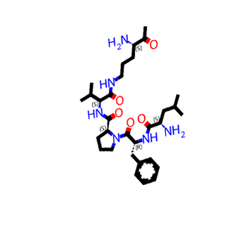 CC(=O)[C@@H](N)CCCNC(=O)[C@@H](NC(=O)[C@@H]1CCCN1C(=O)[C@@H](Cc1ccccc1)NC(=O)[C@@H](N)CC(C)C)C(C)C